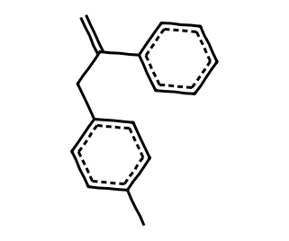 C=C(Cc1ccc(C)cc1)c1ccccc1